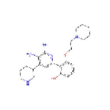 Nc1nc(-c2c(O)cccc2OCCN2CCCCC2)cc(C2CCCNC2)c1N